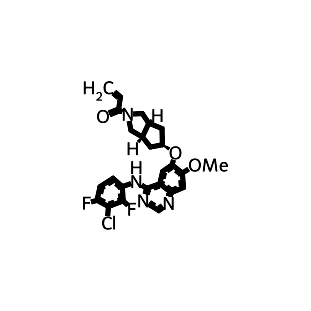 C=CC(=O)N1C[C@H]2C[C@H](Oc3cc4c(Nc5ccc(F)c(Cl)c5F)ncnc4cc3OC)C[C@H]2C1